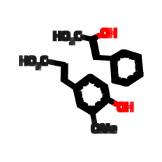 COc1cc(C=CC(=O)O)ccc1O.O=C(O)C(O)=Cc1ccccc1